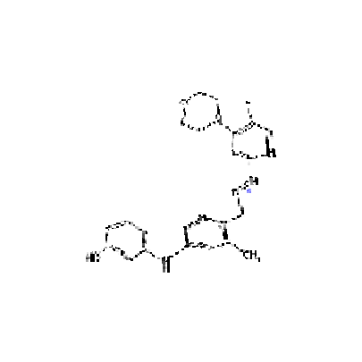 Cc1cc(Nc2cccc(O)c2)cnc1C/N=N/c1ncc(F)c(N2CCOCC2)n1